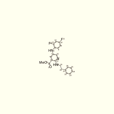 COC(=O)c1cc(Nc2ccc(F)cc2F)cnc1NCCc1ccccc1